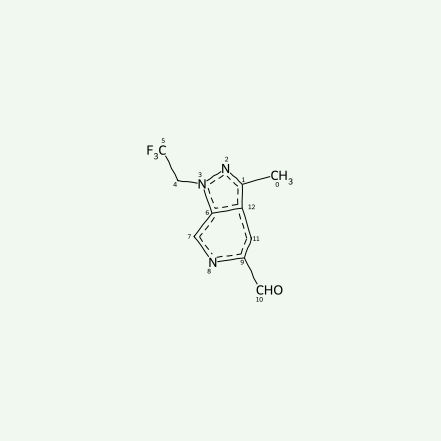 Cc1nn(CC(F)(F)F)c2cnc(C=O)cc12